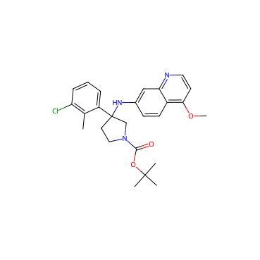 COc1ccnc2cc(NC3(c4cccc(Cl)c4C)CCN(C(=O)OC(C)(C)C)C3)ccc12